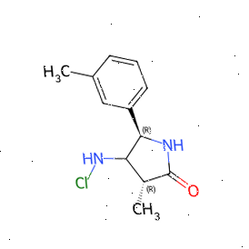 Cc1cccc([C@H]2NC(=O)[C@H](C)C2NCl)c1